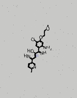 COCCOc1cc(N)c(C(=N)/C(O)=C/C(=N)c2ccc(C)nc2)cc1Cl